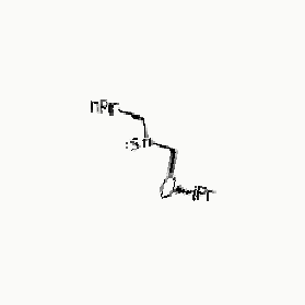 CCC[CH2][Sn][CH2]OC(C)C